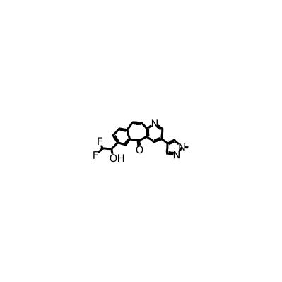 Cn1cc(-c2cnc3ccc4ccc(C(O)C(F)F)cc4c(=O)c3c2)cn1